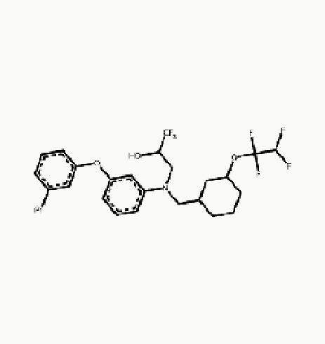 CC(C)c1cccc(Oc2cccc(N(CC3CCCC(OC(F)(F)C(F)F)C3)CC(O)C(F)(F)F)c2)c1